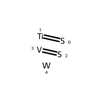 [S]=[Ti].[S]=[V].[W]